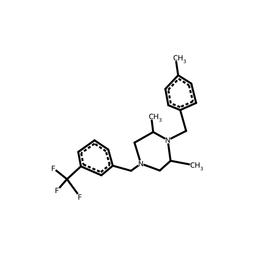 Cc1ccc(CN2C(C)CN(Cc3cccc(C(F)(F)F)c3)CC2C)cc1